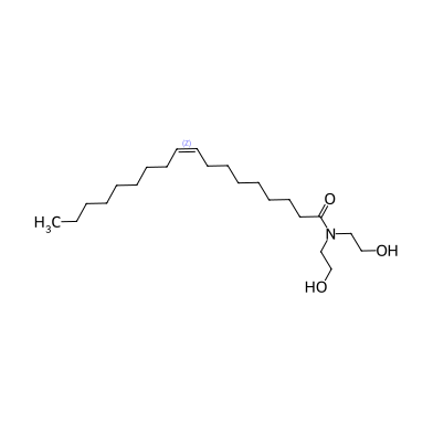 CCCCCCCC/C=C\CCCCCCCC(=O)N(CCO)CCO